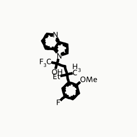 CCC(C)(CC(O)(n1ccc2ncccc21)C(F)(F)F)c1cc(F)ccc1OC